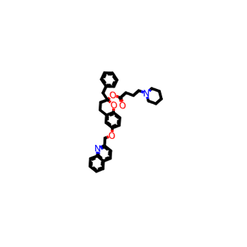 O=C(CCCN1CCCCC1)OC1(Cc2ccccc2)CCc2cc(OCc3ccc4ccccc4n3)ccc2O1